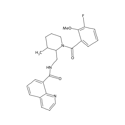 COc1c(F)cccc1C(=O)N1CCCC(C)C1CNC(=O)c1cccc2cccnc12